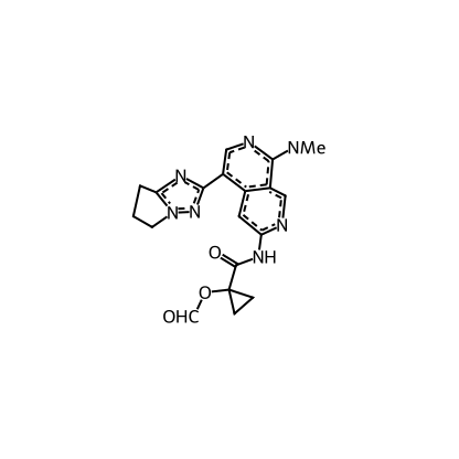 CNc1ncc(-c2nc3n(n2)CCC3)c2cc(NC(=O)C3(OC=O)CC3)ncc12